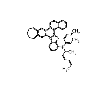 C=C/C=C\C(=C/C)P(C(=C)/C=C\C=C/C)c1cccc2c1nc1c3c4ccccc4ccc3c3cc4c(cc3n21)=CCCCC=4